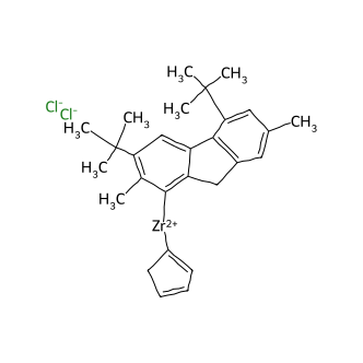 Cc1cc2c(c(C(C)(C)C)c1)-c1cc(C(C)(C)C)c(C)[c]([Zr+2][C]3=CC=CC3)c1C2.[Cl-].[Cl-]